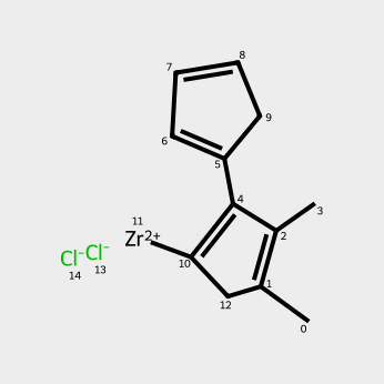 CC1=C(C)C(C2=CC=CC2)=[C]([Zr+2])C1.[Cl-].[Cl-]